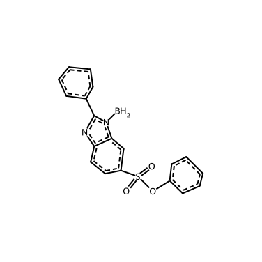 Bn1c(-c2ccccc2)nc2ccc(S(=O)(=O)Oc3ccccc3)cc21